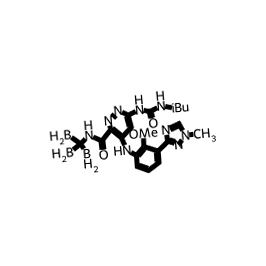 BC(B)(B)NC(=O)c1nnc(NC(=O)NC(C)CC)cc1Nc1cccc(-c2ncn(C)n2)c1OC